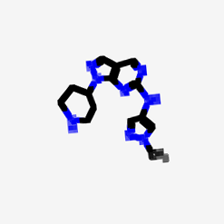 Cn1cc(Nc2ncc3cnn(C4CCNCC4)c3n2)cn1